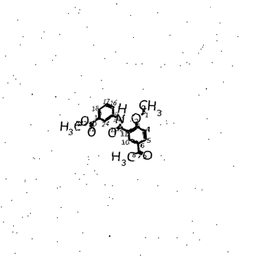 CCOc1ccc(C(C)=O)cc1C(=O)Nc1cccc(C(=O)OC)c1